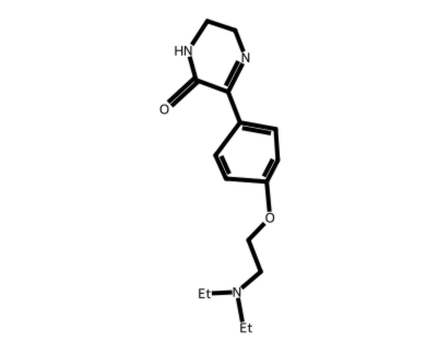 CCN(CC)CCOc1ccc(C2=NCCNC2=O)cc1